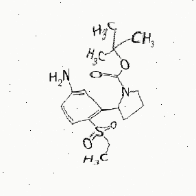 CCS(=O)(=O)c1ccc(N)cc1[C@@H]1CCCN1C(=O)OC(C)(C)C